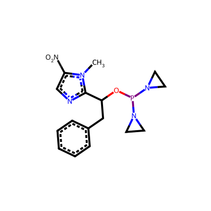 Cn1c([N+](=O)[O-])cnc1C(Cc1ccccc1)OP(N1CC1)N1CC1